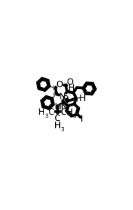 CC(C)(C)C[C@@H]1C2C3=CC(I)=CC2[C@@H](C(=O)N3)C(Cc2ccccc2)[C@@H]2C(=O)O[C@@H](c3ccccc3)[C@@H](c3ccccc3)N12